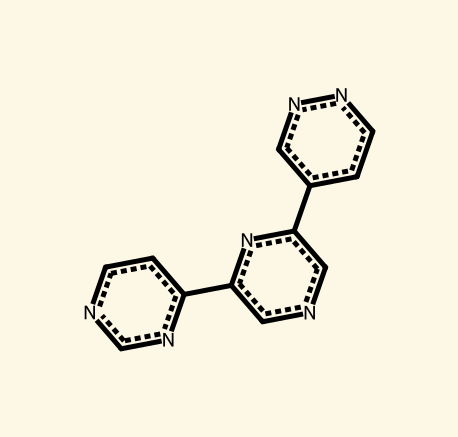 c1cc(-c2cncc(-c3ccnnc3)n2)ncn1